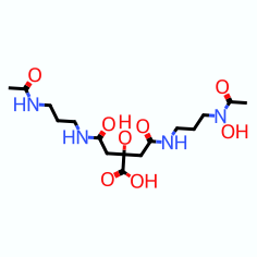 CC(=O)NCCCNC(=O)CC(O)(CC(=O)NCCCN(O)C(C)=O)C(=O)O